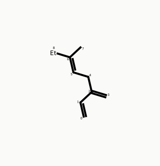 C=CC(=C)C/C=C(\C)CC